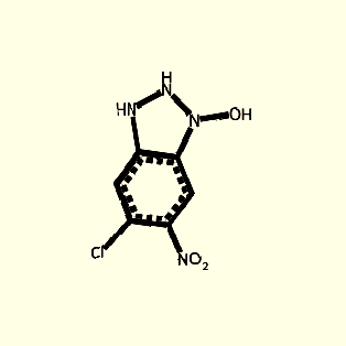 O=[N+]([O-])c1cc2c(cc1Cl)NNN2O